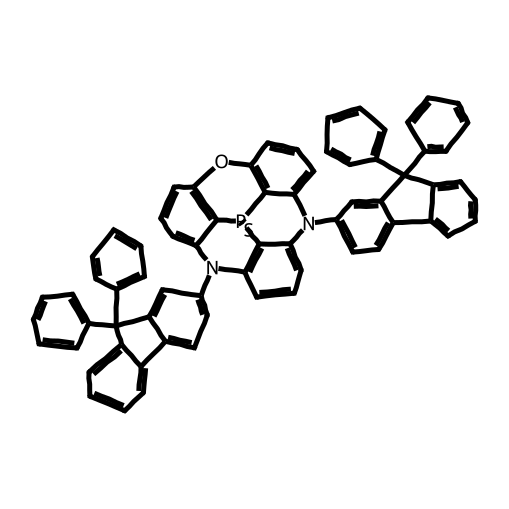 S=P12c3c4cccc3N(c3ccc5c(c3)C(c3ccccc3)(c3ccccc3)c3ccccc3-5)c3cccc(c31)N(c1ccc3c(c1)C(c1ccccc1)(c1ccccc1)c1ccccc1-3)c1cccc(c12)O4